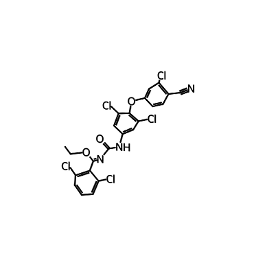 CCOC(=NC(=O)Nc1cc(Cl)c(Oc2ccc(C#N)c(Cl)c2)c(Cl)c1)c1c(Cl)cccc1Cl